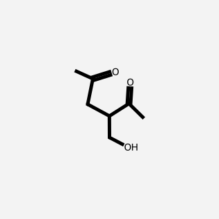 CC(=O)CC(CO)C(C)=O